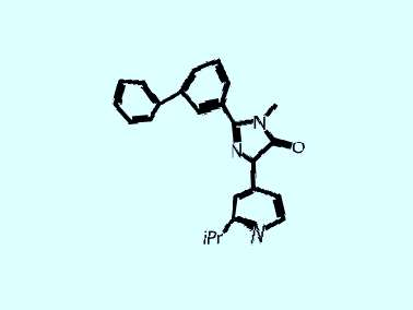 CC(C)c1cc(C2N=C(c3cccc(-c4ccccc4)c3)N(C)C2=O)ccn1